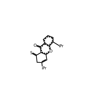 CC(C)C1=Cc2oc3c(C(C)C)cccc3c(=O)c2C(=S)C1